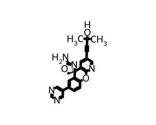 CC(C)(O)C#Cc1cnc2c(c1)[C@]1(COC(N)=N1)c1cc(-c3cncnc3)ccc1O2